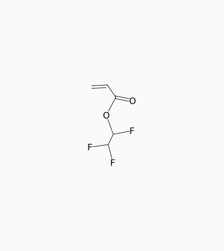 C=CC(=O)OC(F)C(F)F